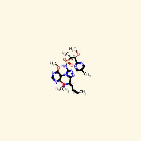 C=N/C(=C\C=C/C)c1nnc(NS(=O)(=O)[C@@H](C)[C@H](OC)c2ncc(C)cn2)n1-c1c(OC)ncnc1OC